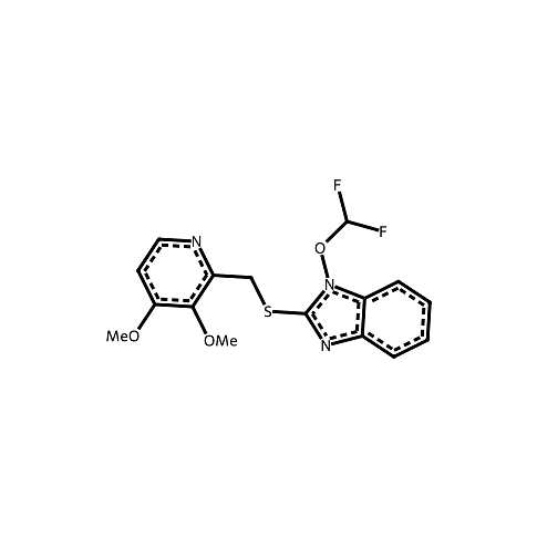 COc1ccnc(CSc2nc3ccccc3n2OC(F)F)c1OC